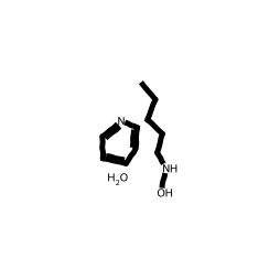 CCCCCNO.O.c1ccncc1